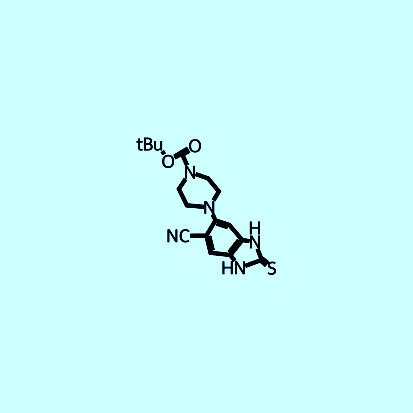 CC(C)(C)OC(=O)N1CCN(c2cc3[nH]c(=S)[nH]c3cc2C#N)CC1